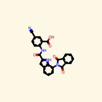 N#Cc1ccc(NC(=O)c2cc3cccc(N4C(=O)c5ccccc5C4=O)c3[nH]2)c(C(=O)O)c1